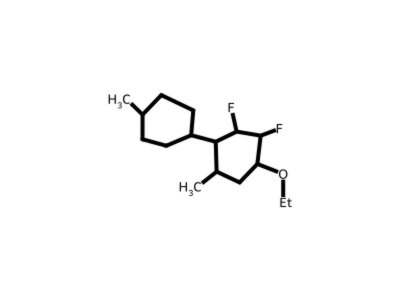 CCOC1CC(C)C(C2CCC(C)CC2)C(F)C1F